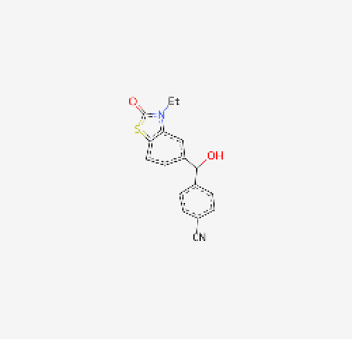 CCn1c(=O)sc2ccc(C(O)c3ccc(C#N)cc3)cc21